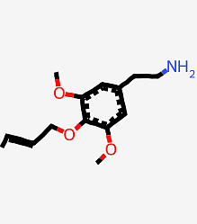 CC=CCOc1c(OC)cc(CCN)cc1OC